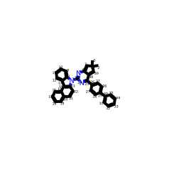 CC1(C)C=c2nc(-n3c4ccccc4c4c5ccccc5ccc43)nc(-c3ccc(-c4ccccc4)cc3)c2=C1